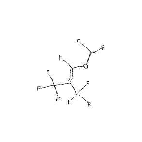 FC(OC(F)F)=C(C(F)(F)F)C(F)(F)F